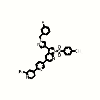 Cc1ccc(S(=O)(=O)n2cc(-c3cnn(Cc4cccc(F)c4)c3)c3cc(-c4ccc(C5=CC(C(C)(C)C)=NCC5)nc4)cnc32)cc1